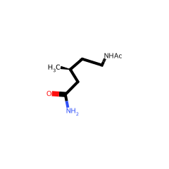 CC(=O)NC[CH][C@H](C)CC(N)=O